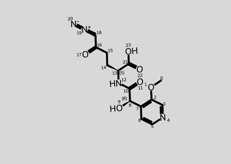 COc1cnccc1[C@@H](O)C(=O)N[C@@H](CCC(=O)C=[N+]=[N-])C(=O)O